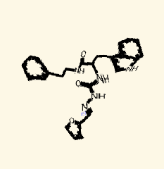 O=C(N/N=C/c1ccco1)NC(Cc1c[nH]c2ccccc12)C(=O)NCCc1ccccc1